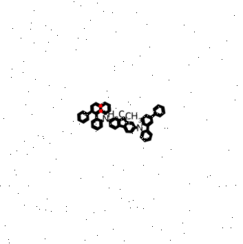 CC1(C)c2cc(N(c3ccccc3)c3ccccc3-c3ccccc3-c3ccccc3)ccc2-c2ccc(-n3c4ccccc4c4cc(-c5ccccc5)ccc43)cc21